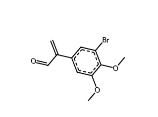 C=C(C=O)c1cc(Br)c(OC)c(OC)c1